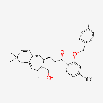 CCCc1ccc(C(=O)CC[C@@H]2C=C3C=CC(C)(C)CC3=CC(C)=C2CO)c(OCc2ccc(C)cc2)c1